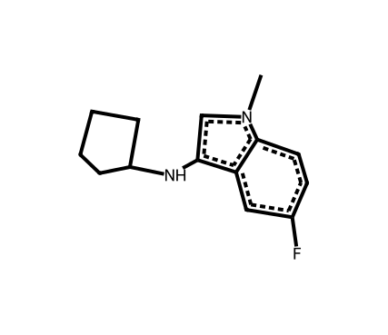 Cn1cc(NC2CCCC2)c2cc(F)ccc21